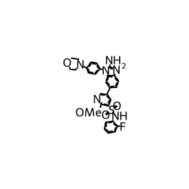 COc1ncc(-c2ccc3nc(N)n(-c4ccc(N5CCOCC5)cc4)c3c2)cc1S(=O)(=O)Nc1ccccc1F